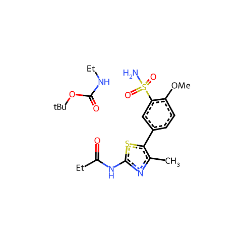 CCC(=O)Nc1nc(C)c(-c2ccc(OC)c(S(N)(=O)=O)c2)s1.CCNC(=O)OC(C)(C)C